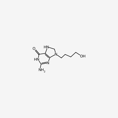 Nc1nc2c(c(=O)[nH]1)NCN2CCCCO